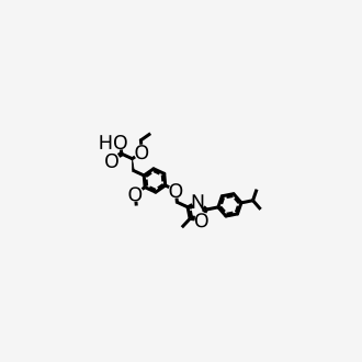 CCO[C@@H](Cc1ccc(OCc2nc(-c3ccc(C(C)C)cc3)oc2C)cc1OC)C(=O)O